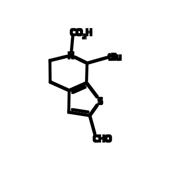 CC(C)(C)C1c2sc(C=O)cc2CCN1C(=O)O